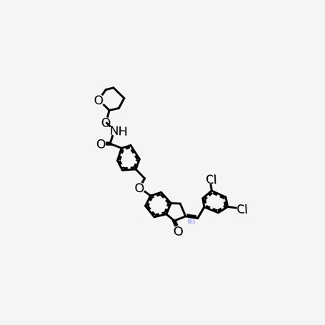 O=C(NOC1CCCCO1)c1ccc(COc2ccc3c(c2)C/C(=C\c2cc(Cl)cc(Cl)c2)C3=O)cc1